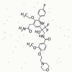 CCOc1c(CC(N)=O)cc([C@@](O)(CNC(=O)c2ccc(OCCN3CCOCC3)c(OC)c2)C(F)(F)F)nc1-c1ccc(F)cc1